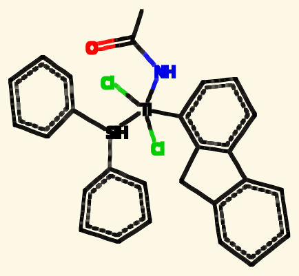 CC(=O)[NH][Ti]([Cl])([Cl])([c]1cccc2c1Cc1ccccc1-2)[SiH](c1ccccc1)c1ccccc1